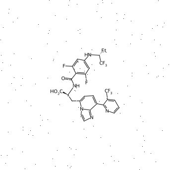 CC[C@@H](Nc1cc(F)c(C(=O)N[C@@H](Cc2ccc(-c3ncccc3C(F)(F)F)c3nccn23)C(=O)O)c(F)c1)C(F)(F)F